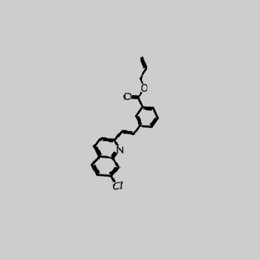 C=CCOC(=O)c1cccc(C=Cc2ccc3ccc(Cl)cc3n2)c1